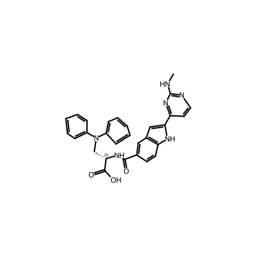 CNc1nccc(-c2cc3cc(C(=O)N[C@@H](CN(c4ccccc4)c4ccccc4)C(=O)O)ccc3[nH]2)n1